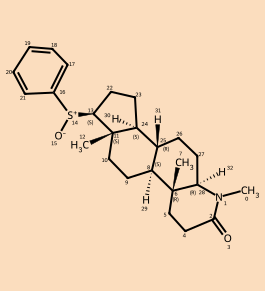 CN1C(=O)CC[C@]2(C)[C@H]3CC[C@]4(C)[C@@H]([S+]([O-])c5ccccc5)CC[C@H]4[C@@H]3CC[C@@H]12